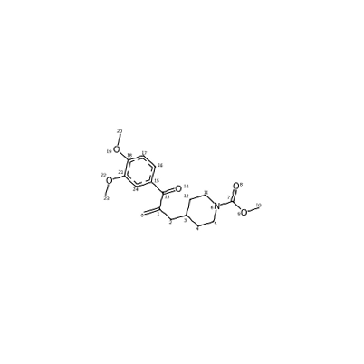 C=C(CC1CCN(C(=O)OC)CC1)C(=O)c1ccc(OC)c(OC)c1